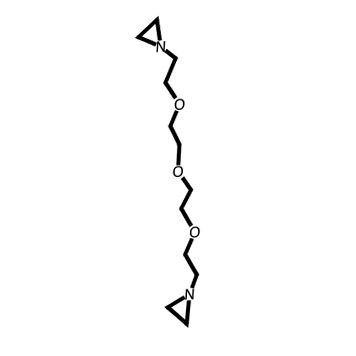 C(COCCN1CC1)OCCOCCN1CC1